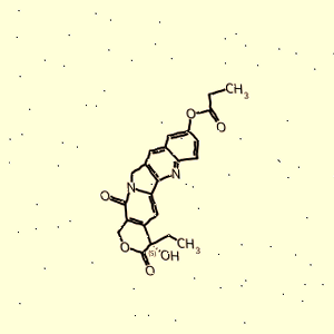 CCC(=O)Oc1ccc2nc3c(cc2c1)Cn1c-3cc2c(c1=O)COC(=O)[C@]2(O)CC